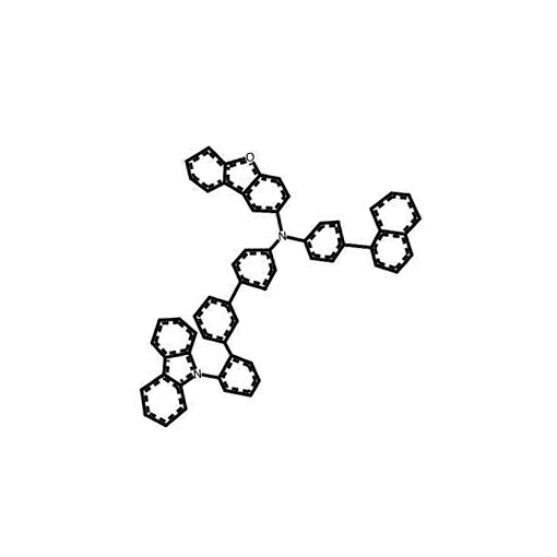 c1cc(-c2ccc(N(c3ccc(-c4cccc5ccccc45)cc3)c3ccc4oc5ccccc5c4c3)cc2)cc(-c2ccccc2-n2c3ccccc3c3ccccc32)c1